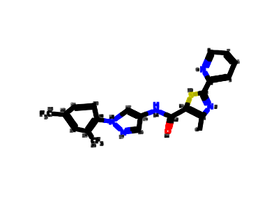 Cc1nc(-c2ccccn2)sc1C(=O)Nc1cnn(-c2ccc(C(F)(F)F)cc2C(F)(F)F)c1